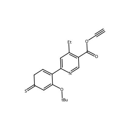 C#COC(=O)c1cnc(C2=CCC(=S)C=C2OC(C)(C)C)cc1CC